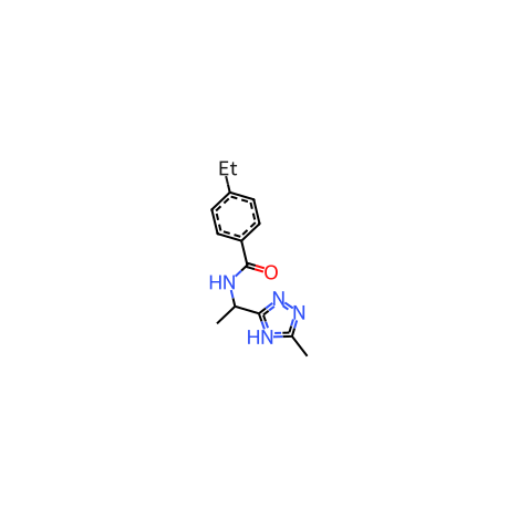 CCc1ccc(C(=O)NC(C)c2nnc(C)[nH]2)cc1